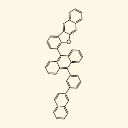 c1cc(-c2ccc3ccccc3c2)cc(-c2c3ccccc3c(-c3cccc4c3oc3cc5ccccc5cc34)c3ccccc23)c1